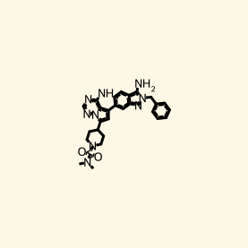 CN(C)S(=O)(=O)N1CCC(c2cc(-c3ccc4c(N)n(Cc5ccccc5)nc4c3)c3c(N)ncnn23)CC1